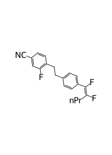 CCC/C(F)=C(/F)c1ccc(CCc2ccc(C#N)cc2F)cc1